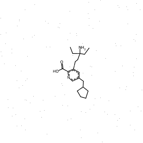 CCC(N)(CC)CCc1cc(CC2CCCC2)cnc1C(=O)O